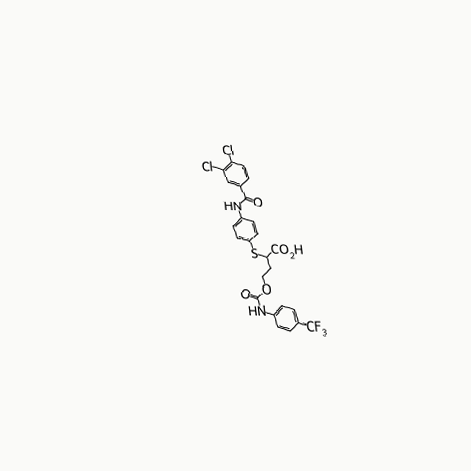 O=C(Nc1ccc(C(F)(F)F)cc1)OCCC(Sc1ccc(NC(=O)c2ccc(Cl)c(Cl)c2)cc1)C(=O)O